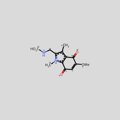 COC1=CC(=O)c2c(c(C)c(CNC(=O)O)n2C)C1=O